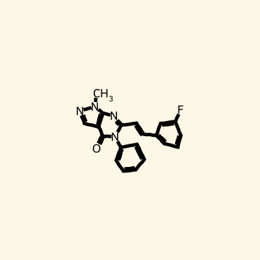 Cn1ncc2c(=O)n(-c3ccccc3)c(/C=C/c3cccc(F)c3)nc21